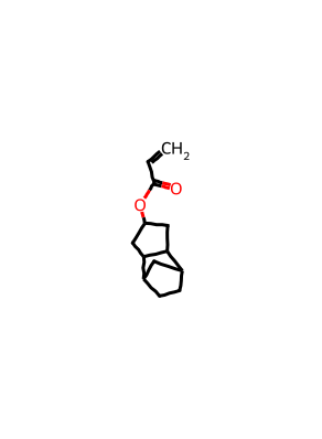 C=CC(=O)OC1CC2C3CCC(C3)C2C1